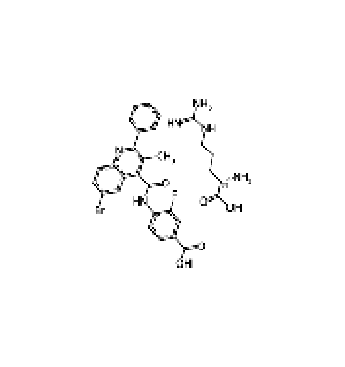 Cc1c(-c2ccccc2)nc2ccc(Br)cc2c1C(=O)Nc1ccc(C(=O)O)cc1F.N=C(N)NCCC[C@H](N)C(=O)O